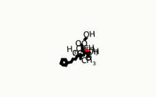 CCC(C)(CC(C)(CC(C)(C)C(=O)OCCO)C(=O)O)C(=O)CCCc1ccccc1